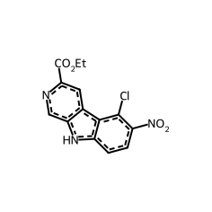 CCOC(=O)c1cc2c(cn1)[nH]c1ccc([N+](=O)[O-])c(Cl)c12